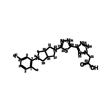 Cc1ccc(F)cc1N1CC2CN(c3nnc(-c4nnn(CC(=O)O)n4)s3)CC2C1